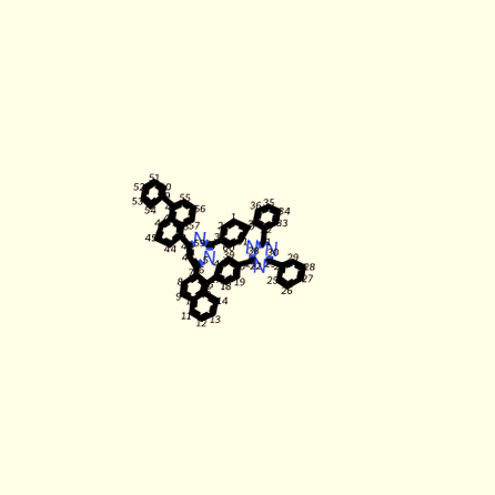 c1ccc(-c2nc(-c3ccc4ccccc4c3-c3ccc(-c4nc(-c5ccccc5)nc(-c5ccccc5)n4)cc3)cc(-c3cccc4c(-c5ccccc5)cccc34)n2)cc1